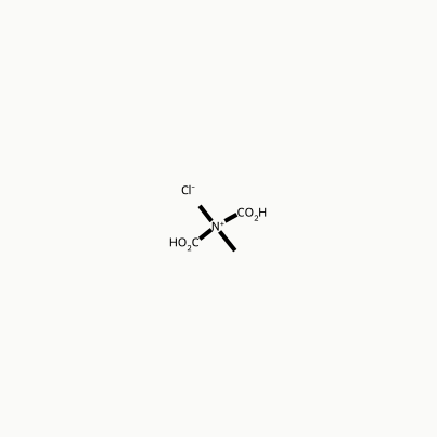 C[N+](C)(C(=O)O)C(=O)O.[Cl-]